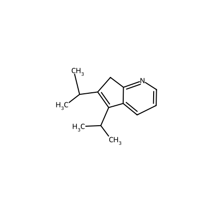 CC(C)C1=C(C(C)C)c2cccnc2C1